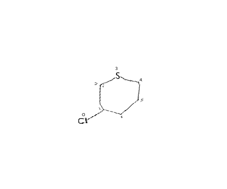 ClC1[C]SCCC1